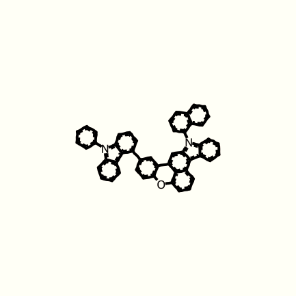 c1ccc(-n2c3ccccc3c3c(-c4ccc5c(c4)-c4cc6c(c7cccc(c47)O5)c4ccccc4n6-c4cccc5ccccc45)cccc32)cc1